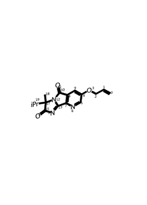 C=CCOc1cnc2c(c1)C(=O)N1C2=NC(=O)C1(C)C(C)C